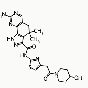 CC1(C)Cc2cnc(N)nc2-c2[nH]nc(C(=O)Nc3nc(CC(=O)N4CCC(O)CC4)cs3)c21